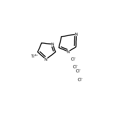 C1=NC=NC1.C1=NC=NC1.[Cl-].[Cl-].[Cl-].[Cl-].[Ti+4]